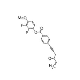 C=CC(=O)CC#Cc1ccc(C(=O)Oc2ccc(OC)c(F)c2F)cc1